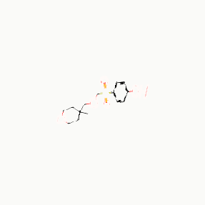 CC1(COCS(=O)(=O)c2ccc(O)cc2)CCOCC1